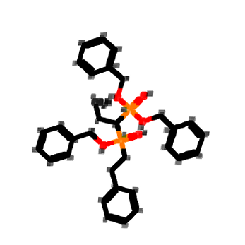 O=C(O)CC(P(=O)(CCc1ccccc1)OCc1ccccc1)P(=O)(OCc1ccccc1)OCc1ccccc1